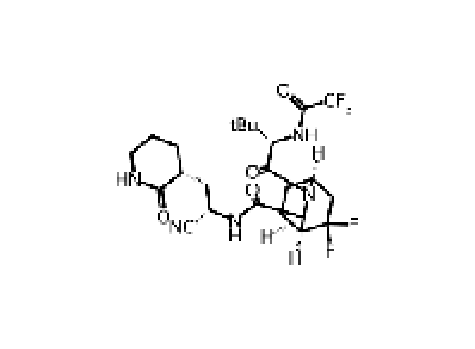 CC(C)(C)[C@H](NC(=O)C(F)(F)F)C(=O)N1[C@H]2CC[C@@H]([C@H]1C(=O)N[C@H](C#N)C[C@H]1CCCNC1=O)C(F)(F)C2